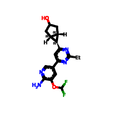 CCc1nc(-c2cnc(N)c(OC(F)F)c2)cc([C@@H]2[C@@H]3CC(O)C[C@@H]32)n1